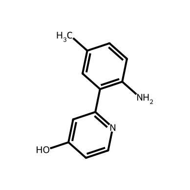 Cc1ccc(N)c(-c2cc(O)ccn2)c1